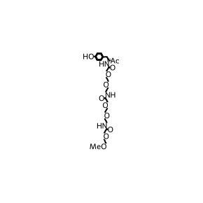 COCCOCC(=O)NCCOCCOCC(=O)NCCOCCOCC(=O)N[C@@H](Cc1ccc(O)cc1)C(C)=O